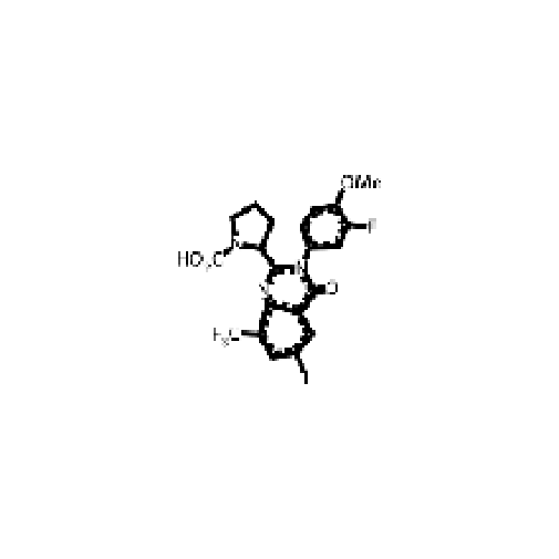 COc1ccc(-n2c(C3CCCN3C(=O)O)nc3c(C(F)(F)F)cc(I)cc3c2=O)cc1F